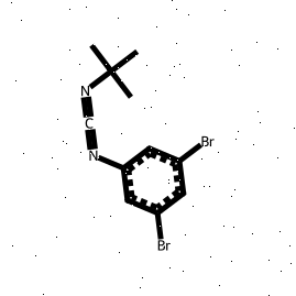 CC(C)(C)N=C=Nc1cc(Br)cc(Br)c1